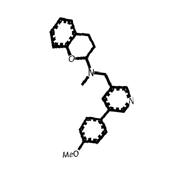 COc1ccc(-c2cncc(CN(C)C3CCc4ccccc4O3)c2)cc1